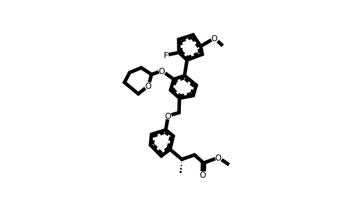 COC(=O)C[C@H](C)c1cccc(OCc2ccc(-c3cc(OC)ccc3F)c(OC3CCCCO3)c2)c1